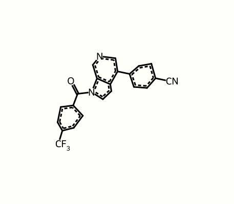 N#Cc1ccc(-c2cncc3c2ccn3C(=O)c2ccc(C(F)(F)F)cc2)cc1